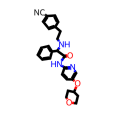 N#Cc1ccc(CCNC(C(=O)Nc2ccc(OC3CCOCC3)cn2)c2ccccc2)cc1